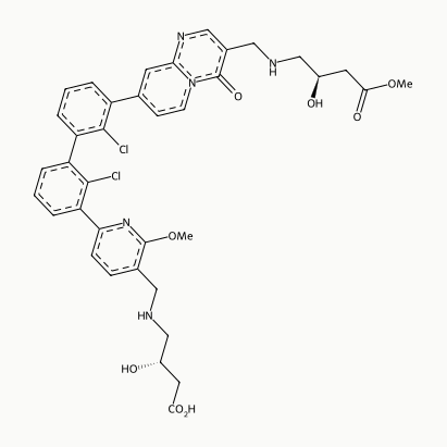 COC(=O)C[C@@H](O)CNCc1cnc2cc(-c3cccc(-c4cccc(-c5ccc(CNC[C@@H](O)CC(=O)O)c(OC)n5)c4Cl)c3Cl)ccn2c1=O